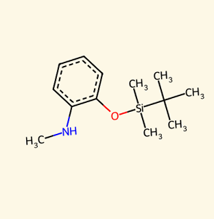 CNc1ccccc1O[Si](C)(C)C(C)(C)C